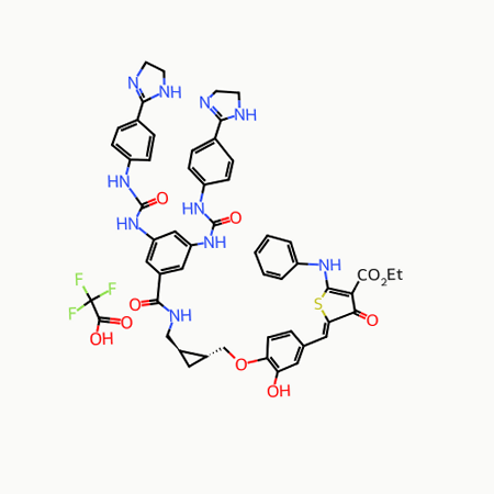 CCOC(=O)C1=C(Nc2ccccc2)S/C(=C\c2ccc(OC[C@@H]3C[C@H]3CNC(=O)c3cc(NC(=O)Nc4ccc(C5=NCCN5)cc4)cc(NC(=O)Nc4ccc(C5=NCCN5)cc4)c3)c(O)c2)C1=O.O=C(O)C(F)(F)F